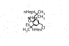 CCCCCCCC(C)(C)Cc1cc(CCl)cc(C(C)(CC)CCCCCC)c1OCCCCCC